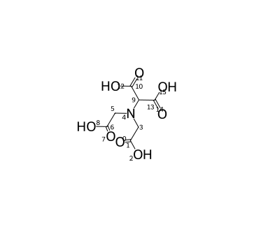 O=C(O)CN(CC(=O)O)C(C(=O)O)C(=O)O